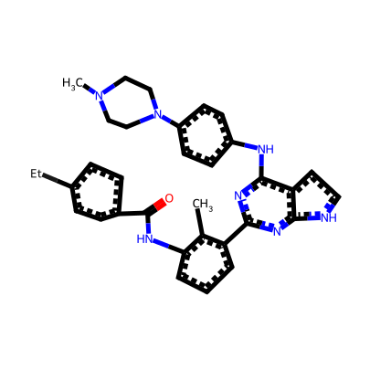 CCc1ccc(C(=O)Nc2cccc(-c3nc(Nc4ccc(N5CCN(C)CC5)cc4)c4cc[nH]c4n3)c2C)cc1